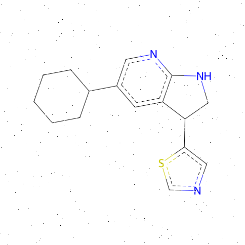 c1ncc(C2CNc3ncc(C4CCCCC4)cc32)s1